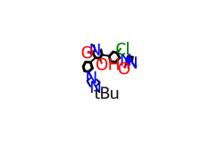 Cn1cc(-c2ccc(-n3ccn(C)c3=O)c(Cl)c2)c(O)c(-c2cccc(N3CCN(C(C)(C)C)CC3)c2)c1=O